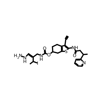 C#Cc1c(NC(=O)CC(C)c2ccccn2)sc2c1CCC(OC(=O)NC/C(=C/NN)C(C)I)C2